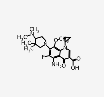 COc1c(N2CCC(N(C)C)C(C)(C)C2)c(F)c(N)c2c(=O)c(C(=O)O)cn(C3CC3)c12